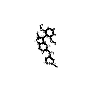 CN/C=C(\C=N)Nc1ncc2sc(C)c(-c3c(OC)cccc3OC)c2n1